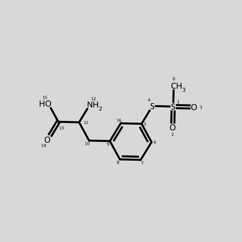 CS(=O)(=O)Sc1cccc(CC(N)C(=O)O)c1